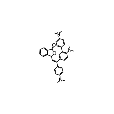 CN(C)c1ccc(C(=CC2OC(=O)c3ccccc32)c2ccc(N(C)C)c(-c3ccc(N(C)C)cc3)c2)cc1